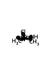 Cc1cc(OCC(CNCC(C)Oc2ccccc2)OC(=O)c2ccc(Cl)cc2)c2cc[nH]c2c1